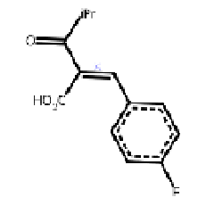 CC(C)C(=O)/C(=C/c1ccc(F)cc1)C(=O)O